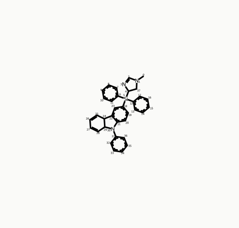 CN1C=NC([Si](c2ccccc2)(c2ccccc2)c2ccc3c(c2)C2C=CC=CC2N3c2ccccc2)C1